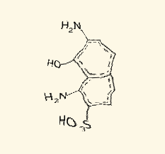 Nc1ccc2ccc(S(=O)(=O)O)c(N)c2c1O